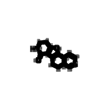 O=C1NCCc2oc3c(c21)CCc1cnccc1-3